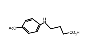 CC(=O)Oc1ccc(NCCCC(=O)O)cc1